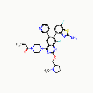 C=CC(=O)N1CCN(c2nc(OCC3CCCN3C)nc3c(F)c(-c4ccc(F)c5sc(N)nc45)c(-c4cccnc4)cc23)CC1